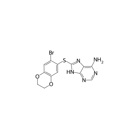 Nc1ncnc2[nH]c(Sc3cc4c(cc3Br)OCCO4)nc12